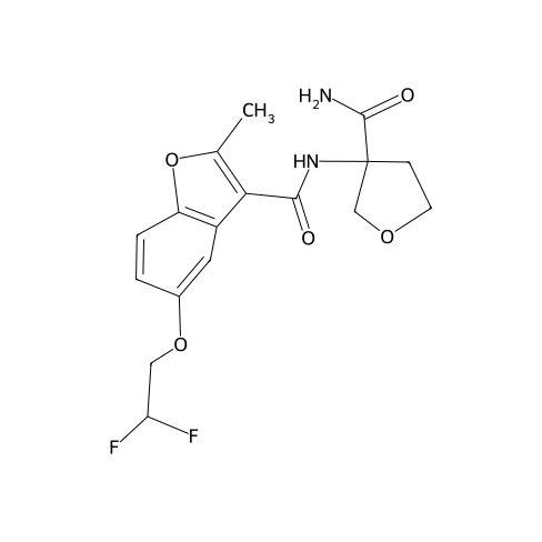 Cc1oc2ccc(OCC(F)F)cc2c1C(=O)NC1(C(N)=O)CCOC1